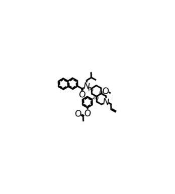 C=CCN1CC[C@@]2(c3cccc(OC(C)=O)c3)C[C@H](N(CC(C)C)C(=O)c3ccc4ccccc4c3)CC[C@]2(OC)C1